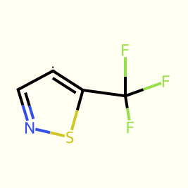 FC(F)(F)c1[c]cns1